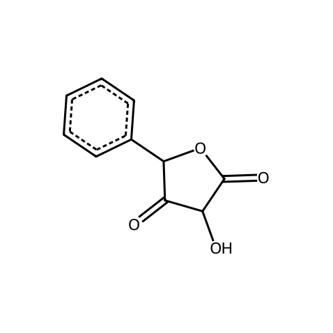 O=C1OC(c2ccccc2)C(=O)C1O